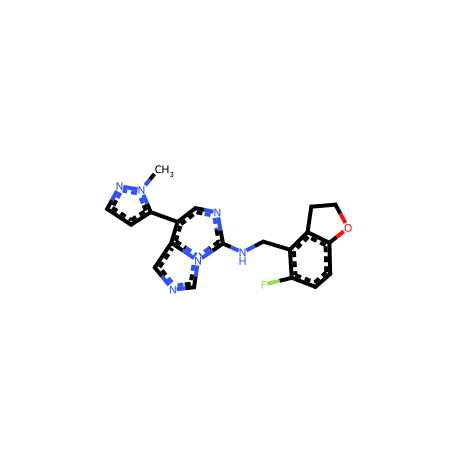 Cn1nccc1-c1cnc(NCc2c(F)ccc3c2CCO3)n2cncc12